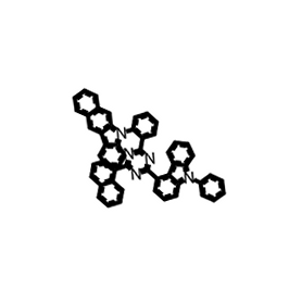 c1ccc(-n2c3ccccc3c3c(-c4nc(-c5ccccc5-n5c6ccccc6c6cc7ccccc7cc65)nc(-c5cccc6ccccc56)n4)cccc32)cc1